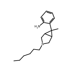 CCCCCCN1CC2C(C1)C2(C)c1ccccc1N